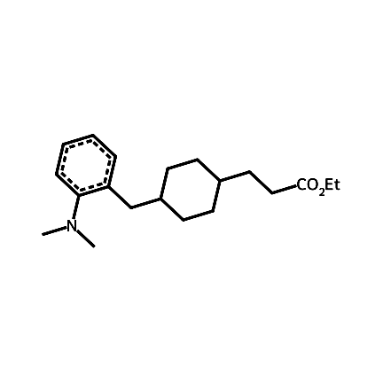 CCOC(=O)CCC1CCC(Cc2ccccc2N(C)C)CC1